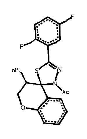 CCCC1COc2ccccc2C12SC(c1cc(F)ccc1F)=NN2C(C)=O